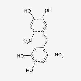 O=[N+]([O-])c1cc(O)c(O)cc1Cc1cc(O)c(O)cc1[N+](=O)[O-]